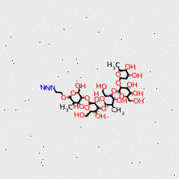 CC1[C@H](O[C@@H]2C(O)[C@H](O[C@@H]3C(CO)O[C@@H](OCCN=[N+]=[N-])C(C)[C@H]3O)OC(CO)[C@@H]2O)OC(CO)[C@@H](O[C@@H]2OC(CO)[C@H](O)[C@H](O)C2OC2C[C@@H](O)C(O)[C@H](C)O2)[C@@H]1O